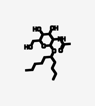 CCCCCC(CCCC)OC1OC(CO)C(O)C(O)C1NC(C)=O